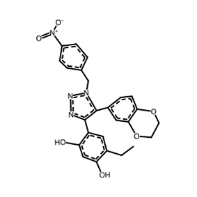 CCc1cc(-c2nnn(Cc3ccc([N+](=O)[O-])cc3)c2-c2ccc3c(c2)OCCO3)c(O)cc1O